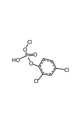 O=P(O)(OCl)Oc1ccc(Cl)cc1Cl